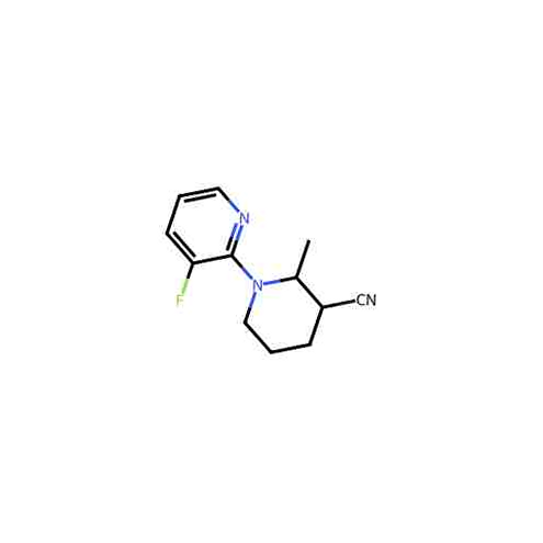 CC1C(C#N)CCCN1c1ncccc1F